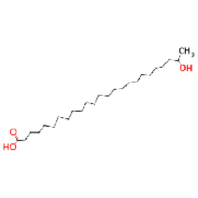 CC(O)CCCCCCCCCCCCCCCCCCCCCCC(=O)O